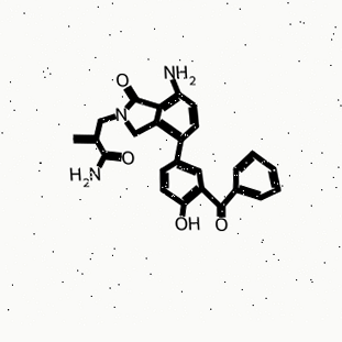 C=C(CN1Cc2c(-c3ccc(O)c(C(=O)c4ccccc4)c3)ccc(N)c2C1=O)C(N)=O